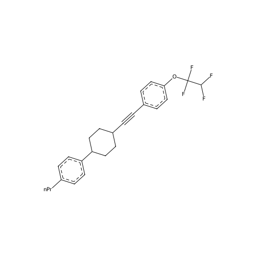 CCCc1ccc(C2CCC(C#Cc3ccc(OC(F)(F)C(F)F)cc3)CC2)cc1